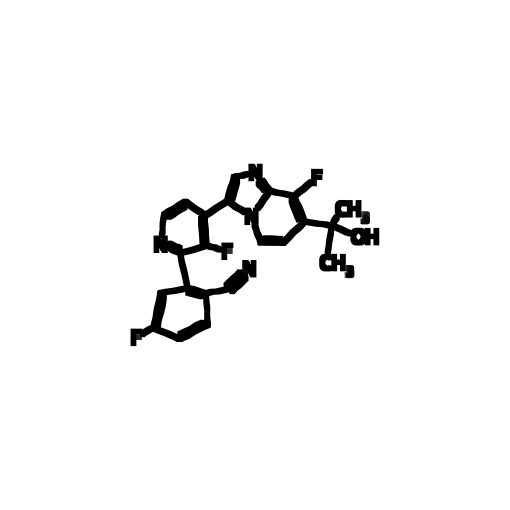 CC(C)(O)c1ccn2c(-c3ccnc(-c4cc(F)ccc4C#N)c3F)cnc2c1F